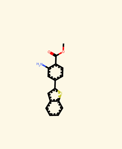 COC(=O)c1ccc(-c2cc3ccccc3s2)cc1N